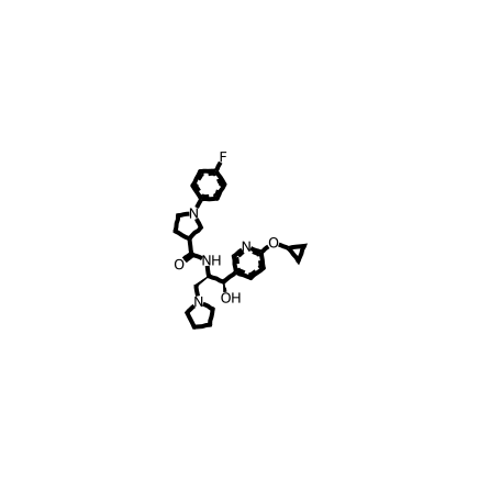 O=C(N[C@H](CN1CCCC1)[C@H](O)c1ccc(OC2CC2)nc1)C1CCN(c2ccc(F)cc2)C1